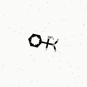 NC(I)(B(F)F)c1cc[c]cc1